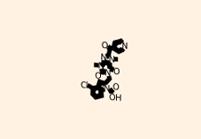 Cn1c(C(=O)c2ccncc2)nc2c1c(=O)n(Cc1cc3c(Cl)cccc3n1C(=O)O)c(=O)n2C